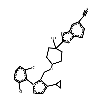 N#Cc1ccc2nc(C3(O)CCC(OCc4c(C5CC5)cnn4-c4c(Cl)cccc4Cl)CC3)sc2c1